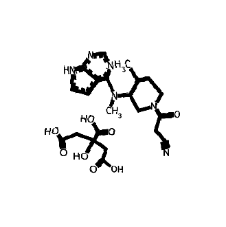 CC1CCN(C(=O)CC#N)CC1N(C)c1ncnc2[nH]ccc12.O=C(O)CC(O)(CC(=O)O)C(=O)O